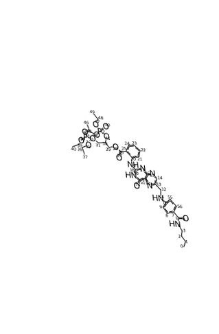 CCCCNC(=O)c1ccc(NCc2cnc3nc(Nc4ccccc4C(=O)OCC(COP(=O)(OCC)OCC)OP(=O)(OCC)OCC)[nH]c(=O)c3n2)cc1